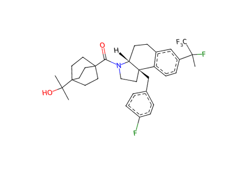 CC(C)(O)C12CCC(C(=O)N3CC[C@@]4(Cc5ccc(F)cc5)c5ccc(C(C)(F)C(F)(F)F)cc5CC[C@@H]34)(CC1)CC2